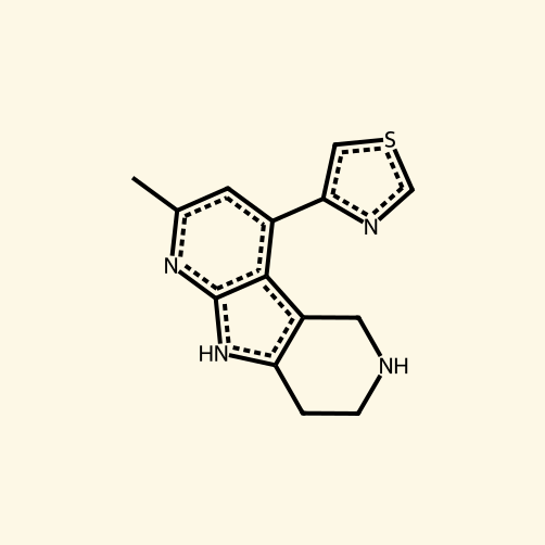 Cc1cc(-c2cscn2)c2c3c([nH]c2n1)CCNC3